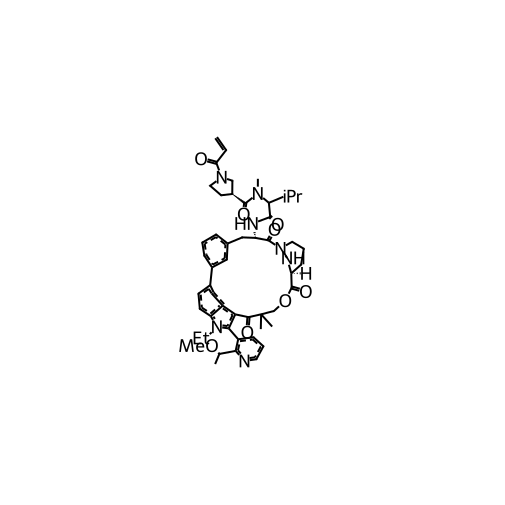 C=CC(=O)N1CC[C@H](C(=O)N(C)C(C(=O)N[C@H]2Cc3cccc(c3)-c3ccc4c(c3)c(c(-c3cccnc3[C@H](C)OC)n4CC)C(=O)C(C)(C)COC(=O)[C@@H]3CCCN(N3)C2=O)C(C)C)C1